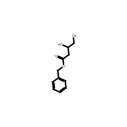 N#CCC(O)CC(=O)OCc1ccccc1